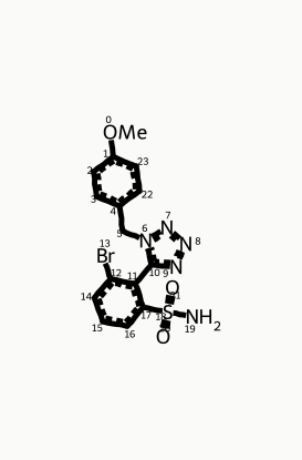 COc1ccc(Cn2nnnc2-c2c(Br)cccc2S(N)(=O)=O)cc1